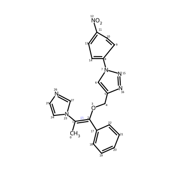 C/C(=C(/OCc1cn(-c2ccc([N+](=O)[O-])cc2)nn1)c1ccccc1)n1ccnc1